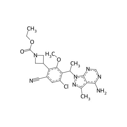 CCOC(=O)N1CC(c2c(C#N)cc(Cl)c(C(C)n3nc(C)c4c(N)ncnc43)c2OC)C1